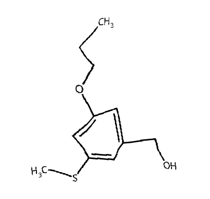 CCCOc1cc(CO)cc(SC)c1